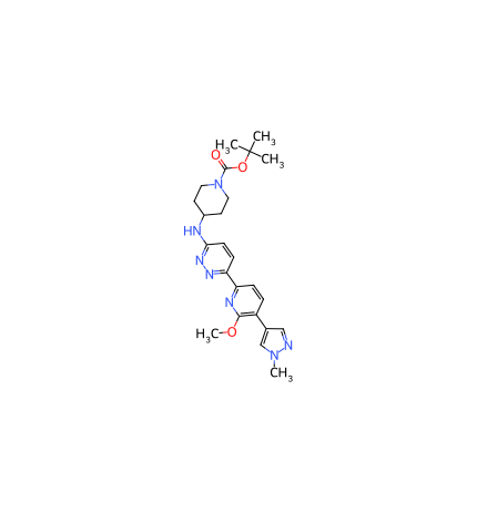 COc1nc(-c2ccc(NC3CCN(C(=O)OC(C)(C)C)CC3)nn2)ccc1-c1cnn(C)c1